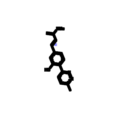 C=C(/C=C/c1ccc(-c2ccc(C)nn2)c(O)c1)NC